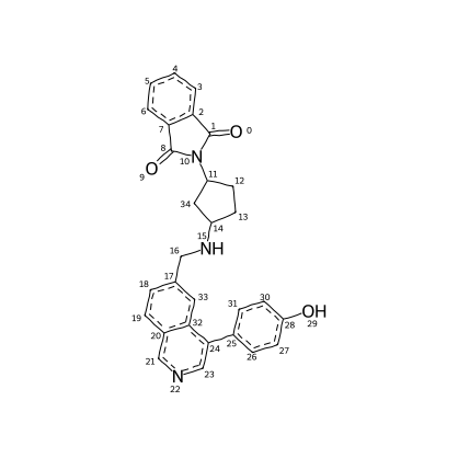 O=C1c2ccccc2C(=O)N1C1CCC(NCc2ccc3cncc(-c4ccc(O)cc4)c3c2)C1